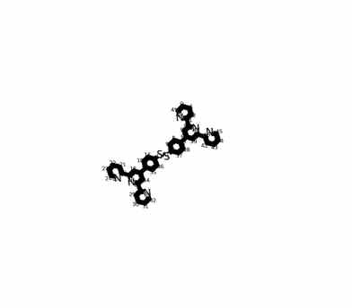 c1ccc(-c2cc(-c3ccc(SSc4ccc(-c5cc(-c6ccccn6)nc(-c6ccccn6)c5)cc4)cc3)cc(-c3ccccn3)n2)nc1